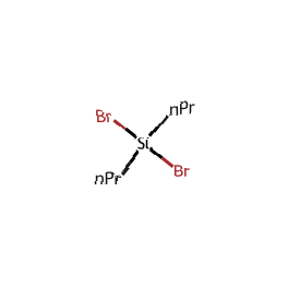 CCC[Si](Br)(Br)CCC